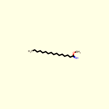 CCCCCCCCCCCCCCCC(=N)O[SiH3]